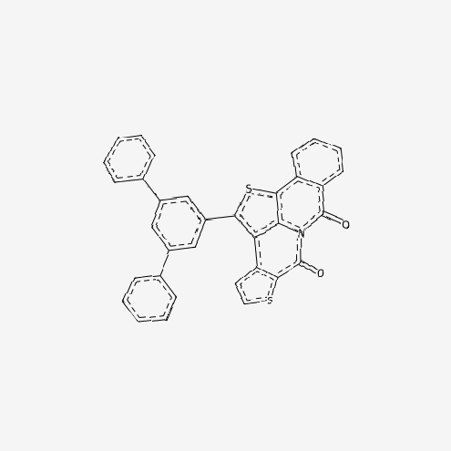 O=c1c2ccccc2c2sc(-c3cc(-c4ccccc4)cc(-c4ccccc4)c3)c3c4ccsc4c(=O)n1c23